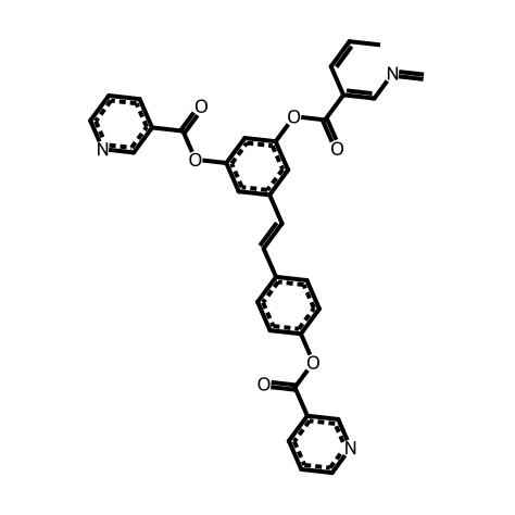 C=N/C=C(\C=C/C)C(=O)Oc1cc(/C=C/c2ccc(OC(=O)c3cccnc3)cc2)cc(OC(=O)c2cccnc2)c1